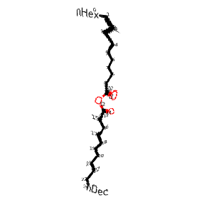 CCCCCC/C=C\CCCCCCCC(=O)OC(=O)CCCCCCCCCCCCCCCCCCC